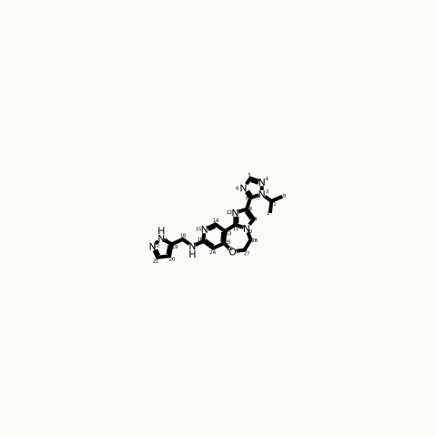 CC(C)n1ncnc1-c1cn2c(n1)-c1cnc(NCc3ccn[nH]3)cc1OCC2